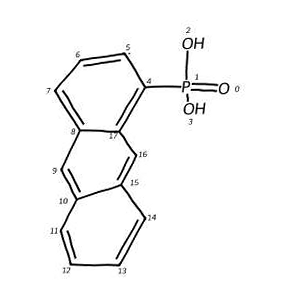 O=P(O)(O)c1[c]ccc2cc3ccccc3cc12